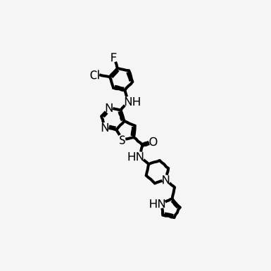 O=C(NC1CCN(Cc2ccc[nH]2)CC1)c1cc2c(Nc3ccc(F)c(Cl)c3)ncnc2s1